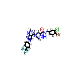 O=C(NCc1ccc(Br)c(Cl)c1)C1CN(c2ncnc3nn(-c4ccc(C(F)(F)F)cc4)cc23)CCN1